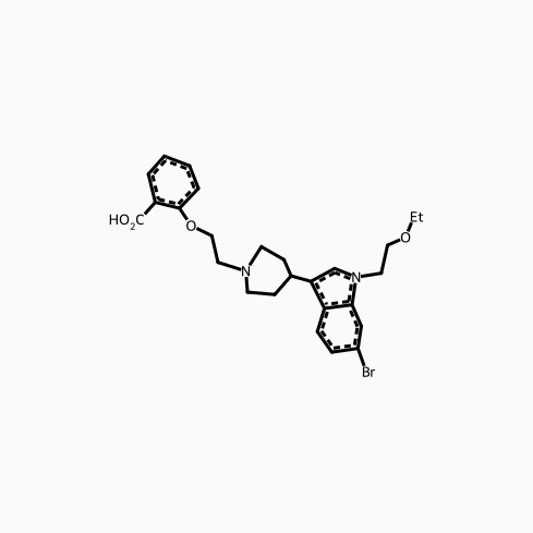 CCOCCn1cc(C2CCN(CCOc3ccccc3C(=O)O)CC2)c2ccc(Br)cc21